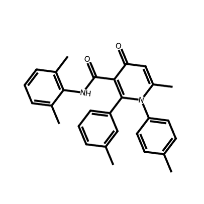 Cc1ccc(-n2c(C)cc(=O)c(C(=O)Nc3c(C)cccc3C)c2-c2cccc(C)c2)cc1